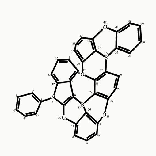 c1ccc(-n2c3c(c4ccccc42)B2c4c(cccc4O3)Oc3ccc4c(c32)Oc2cccc3c2B4c2ccccc2O3)cc1